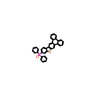 O=P(c1ccccc1)(c1ccccc1)c1ccc2c(c1)sc1cc3c4ccccc4c4ccccc4c3cc12